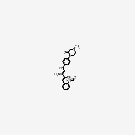 CC(=C\c1ccccc1NC=O)/C(N)=C/Nc1ccc(N2CCN(C)CC2=O)cc1